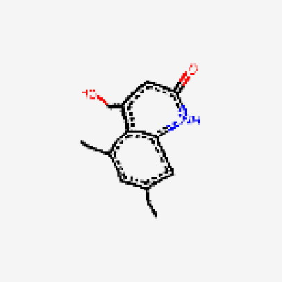 Cc1cc(C)c2c(O)cc(=O)[nH]c2c1